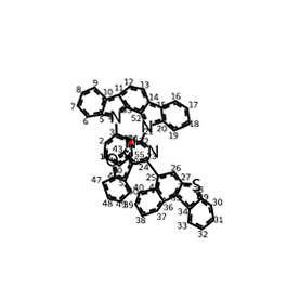 c1ccc(-n2c3ccccc3c3ccc4c5ccccc5n(-c5nc(-c6cc7sc8ccccc8c7c7ccccc67)c6c(n5)oc5ccccc56)c4c32)cc1